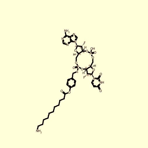 NCCCCCCCCCCC(=O)Oc1ccc(CSP2(=O)OC[C@H]3O[C@@H](n4cnc5c(N)ncnc54)[C@H](F)[C@@H]3OP(=O)(O)OC[C@H]3O[C@@H](n4ccc(=O)[nH]c4=O)[C@H](F)[C@@H]3O2)cc1